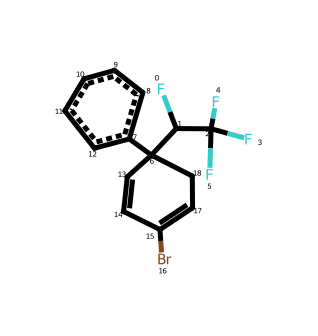 FC(C(F)(F)F)C1(c2ccccc2)C=CC(Br)=CC1